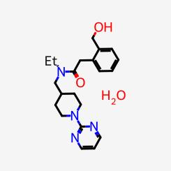 CCN(CC1CCN(c2ncccn2)CC1)C(=O)Cc1ccccc1CO.O